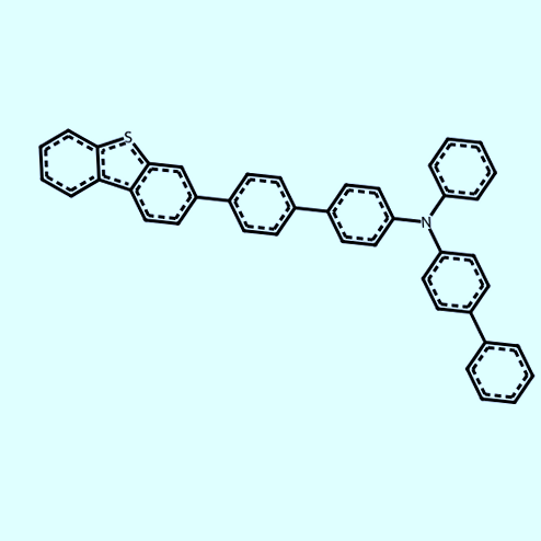 c1ccc(-c2ccc(N(c3ccccc3)c3ccc(-c4ccc(-c5ccc6c(c5)sc5ccccc56)cc4)cc3)cc2)cc1